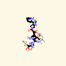 C=C/C(OC)=c1/c(C(=O)C(=O)N2CCc3c(ncnc3-c3ccccn3)C2)c[nH]/c1=C(/N)n1cnc(C(C)O)n1